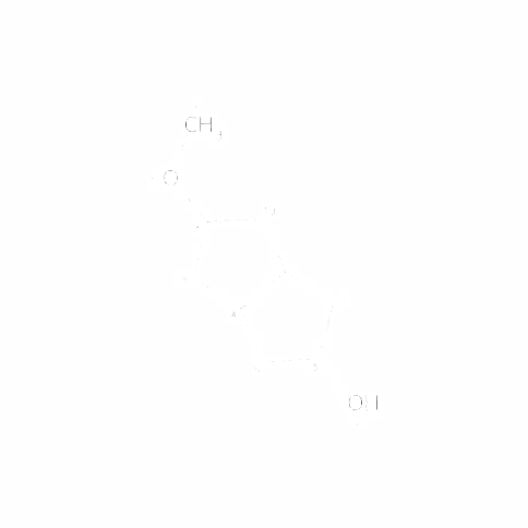 COC1CC2CC(O)CC2C1